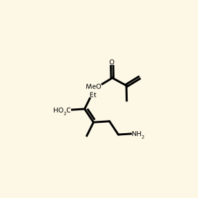 C=C(C)C(=O)OC.CCC(C(=O)O)=C(C)CCN